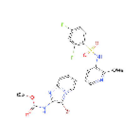 COc1ncc(-c2ccc3nc(NC(=O)OC(C)(C)C)c(Br)n3c2)cc1NS(=O)(=O)c1ccc(F)cc1F